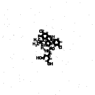 CC(C)(C)C[C@H]1N[C@@H](C(=O)NCC(CCO)CCO)[C@H](c2cccc(Cl)c2)[C@@]12C(=O)Nc1cc(Cl)c(F)cc12